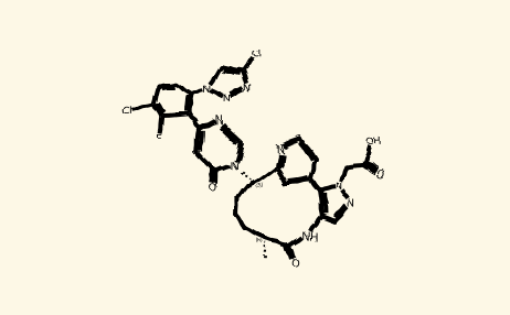 C[C@@H]1CCC[C@H](n2cnc(-c3c(-n4cc(Cl)nn4)ccc(Cl)c3F)cc2=O)c2cc(ccn2)-c2c(cnn2CC(=O)O)NC1=O